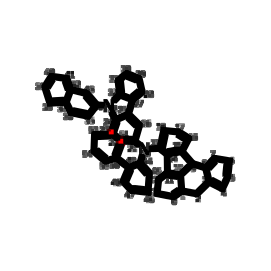 C1=C2Cc3ccccc3C3C2=C(CC1)c1c3cccc1N(c1ccc2c(c1)c1ccccc1n2-c1ccc2ccccc2c1)c1ccccc1-c1ccccc1